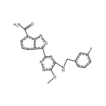 COc1nnc(-c2onc3c(C(N)=O)cccc23)nc1NCc1cccc(F)c1